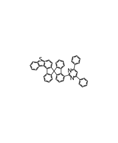 c1ccc(-c2cc(-c3ccccc3)nc(-c3cccc4c3-c3ccccc3C43c4ccccc4-c4c3ccc3sc5ccccc5c43)n2)cc1